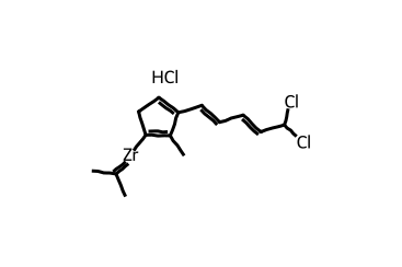 C[C](C)=[Zr][C]1=C(C)C(C=CC=CC(Cl)Cl)=CC1.Cl